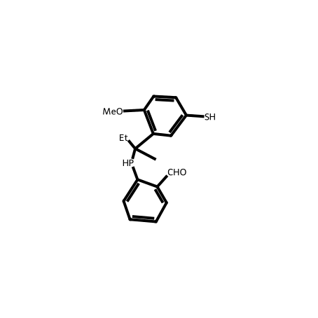 CCC(C)(Pc1ccccc1C=O)c1cc(S)ccc1OC